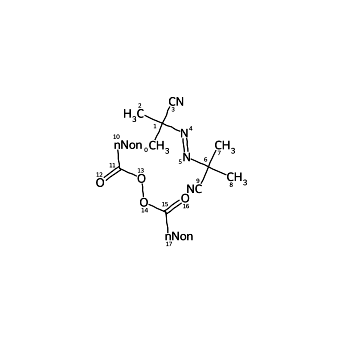 CC(C)(C#N)N=NC(C)(C)C#N.CCCCCCCCCC(=O)OOC(=O)CCCCCCCCC